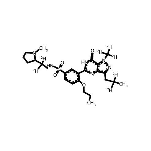 [2H]C([2H])(C)Cc1nn(C([2H])([2H])[2H])c2c(=O)[nH]c(-c3cc(S(=O)(=O)NCC([2H])([2H])C4CCCN4C)ccc3OCCC)nc12